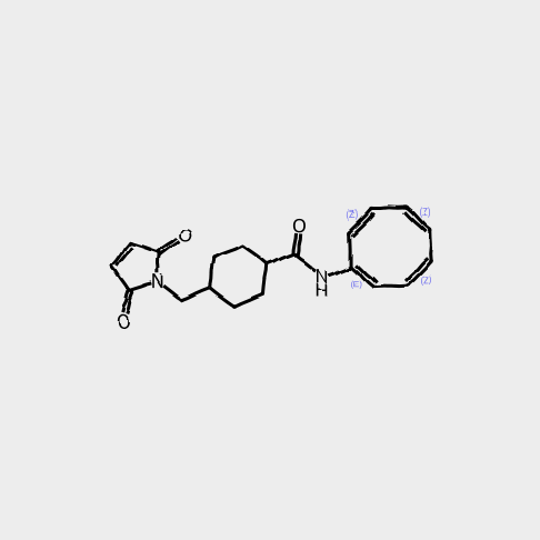 O=C(NC1=C/C=C\C=C/C=C\1)C1CCC(CN2C(=O)C=CC2=O)CC1